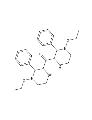 CCON1CCNC(C(=O)C2NCCN(OCC)C2c2ccccc2)C1c1ccccc1